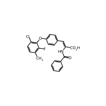 Cc1ccc(Cl)c(Oc2ccc(C=C(NC(=O)c3ccccc3)C(=O)O)cc2)c1F